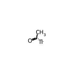 C[C]=O.[Tl]